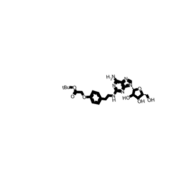 CC(C)(C)OC(=O)COc1ccc(CCNc2nc(N)c3ncn([C@@H]4O[C@H](CO)C(O)C4O)c3n2)cc1